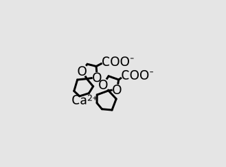 O=C([O-])C1COC2(CCCCC2)O1.O=C([O-])C1COC2(CCCCC2)O1.[Ca+2]